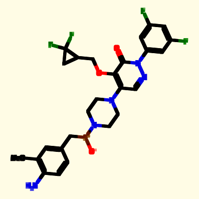 COc1cc(C[S+]([O-])N2CCN(c3cnn(-c4cc(F)cc(F)c4)c(=O)c3OCC3CC3(F)F)CC2)ccc1N